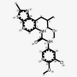 COCC(C)Cc1c(NC(=O)Nc2cnc(OC)c(Cl)c2)cnc2sc(C)nc12